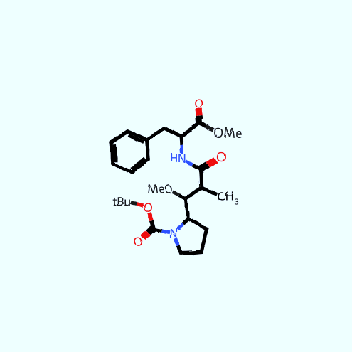 COC(=O)C(Cc1ccccc1)NC(=O)C(C)C(OC)C1CCCN1C(=O)OC(C)(C)C